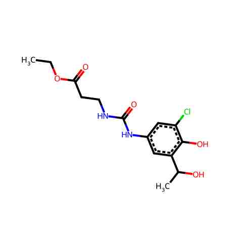 CCOC(=O)CCNC(=O)Nc1cc(Cl)c(O)c(C(C)O)c1